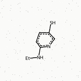 CCNc1ccc(S)cn1